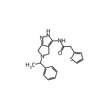 CC(c1ccccc1)N1Cc2n[nH]c(NC(=O)Cc3cccs3)c2C1